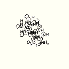 NC(=O)CC[C@H](NC(=O)[C@H](CCC(N)=O)NC(=O)[C@H]1CCCN1)C(=O)N[C@H](Cc1c[nH]c2ccccc12)C(=O)N[C@@H](Cc1ccccc1)C(=O)N[C@H](Cc1c[nH]c2ccccc12)C(=O)N[C@H](Cc1c[nH]c2ccccc12)C(=O)N[C@@H](Cc1ccccc1)C(N)=O